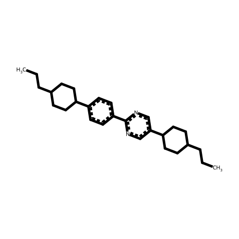 CCCC1CCC(c2ccc(-c3ncc(C4CCC(CCC)CC4)cn3)cc2)CC1